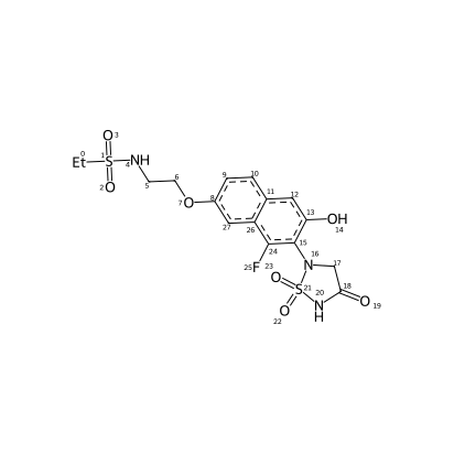 CCS(=O)(=O)NCCOc1ccc2cc(O)c(N3CC(=O)NS3(=O)=O)c(F)c2c1